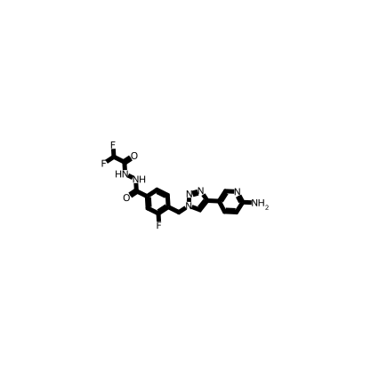 Nc1ccc(-c2cn(Cc3ccc(C(=O)NNC(=O)C(F)F)cc3F)nn2)cn1